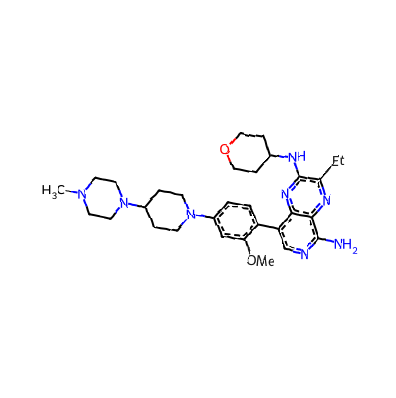 CCc1nc2c(N)ncc(-c3ccc(N4CCC(N5CCN(C)CC5)CC4)cc3OC)c2nc1NC1CCOCC1